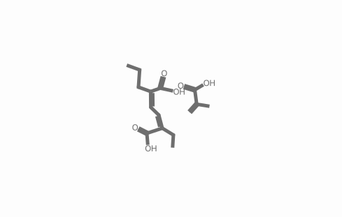 C=C(C)C(=O)O.CCCC(=CC=C(CC)C(=O)O)C(=O)O